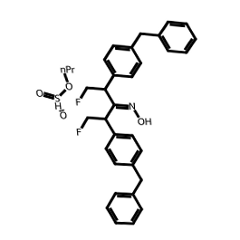 CCCO[SH](=O)=O.ON=C(C(CF)c1ccc(Cc2ccccc2)cc1)C(CF)c1ccc(Cc2ccccc2)cc1